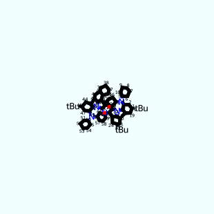 CC(C)(C)c1cc(N(c2ccccc2)c2ccccc2)c2c(c1)c1cc(C(C)(C)C)cc3c4nc5c(cc4n2c13)c1c2ccccc2cc2c3cc(C(C)(C)C)cc(N(c4ccccc4)c4ccccc4)c3n5c21